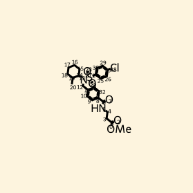 COC(=O)CCNC(=O)c1ccc(CN(C2CCCCC2C)S(=O)(=O)c2ccc(Cl)cc2)cc1